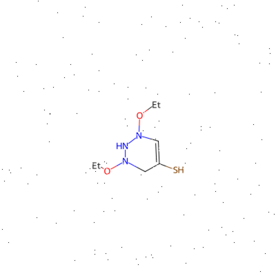 CCON1C=C(S)CN(OCC)N1